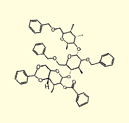 C[C@@H]1C(COCc2ccccc2)O[C@H](C)C(O[C@H]2OC(COCc3ccccc3)[C@@H](O[C@@H]3OC4COC(c5ccccc5)O[C@H]4[C@H](C)C3OC(=O)c3ccccc3)[C@H](C)C2OCc2ccccc2)[C@H]1C